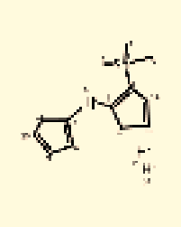 [CH3][Sn]([CH3])([CH3])[C]1=[C]([Hf][C]2=CC=CC2)CC=C1.[H-].[H-]